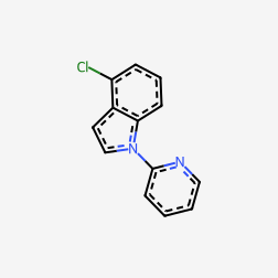 Clc1cccc2c1ccn2-c1ccccn1